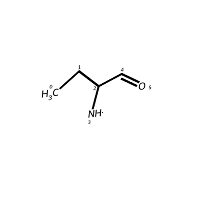 CCC([NH])C=O